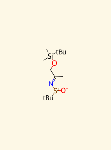 C/C(CO[Si](C)(C)C(C)(C)C)=N\[S+]([O-])C(C)(C)C